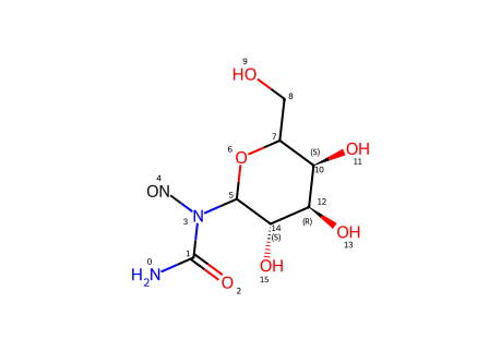 NC(=O)N(N=O)C1OC(CO)[C@@H](O)[C@@H](O)[C@@H]1O